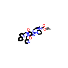 CC#CCn1c(N2CCCC(NC(=O)OC(C)(C)C)C2)nc2c(=O)n(Cc3cccnc3)n(Cc3ccc4ccccc4n3)c(=O)c21